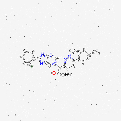 COC(=O)C(c1ccc(-c2ccc(C(F)(F)F)cc2C(F)(F)F)nn1)n1cnc2nc(-c3ccccc3F)nc-2c1